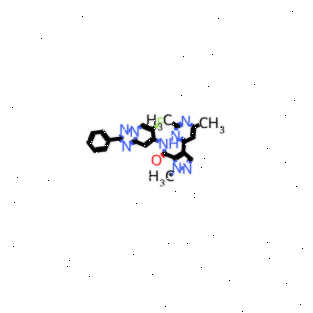 Cc1cc(-c2cnn(C)c2C(=O)Nc2cc3nc(-c4ccccc4)nn3cc2F)nc(C)n1